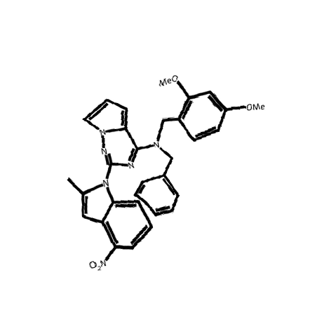 COc1ccc(CN(Cc2ccccc2)c2nc(-n3c(C)cc4c([N+](=O)[O-])cccc43)nn3cccc23)c(OC)c1